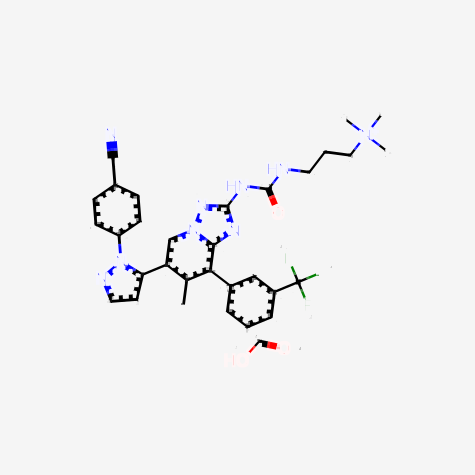 Cc1c(-c2ccnn2-c2ccc(C#N)cc2)cn2nc(NC(=O)NCCC[N+](C)(C)C)nc2c1-c1cccc(C(F)(F)F)c1.O=CO